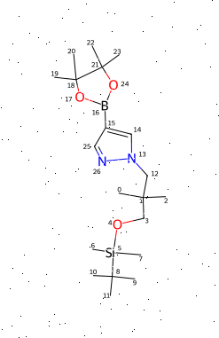 CC(C)(CO[Si](C)(C)C(C)(C)C)Cn1cc(B2OC(C)(C)C(C)(C)O2)cn1